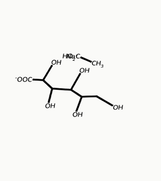 CC(=O)O.O=C([O-])C(O)C(O)C(O)C(O)CO.[Na+]